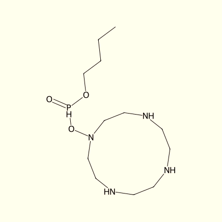 CCCCO[PH](=O)ON1CCNCCNCCNCC1